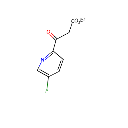 CCOC(=O)CC(=O)c1ccc(F)cn1